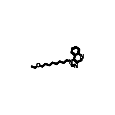 CCOCCCCCCCCn1cnc2cnc3ccccc3c21